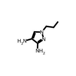 CCCn1cc(N)c(N)n1